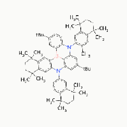 Cc1cc2c(cc1N1c3ccc(C(C)(C)C)cc3B3c4cc5c(cc4N(c4ccc6c(c4)C(C)(C)CCC6(C)C)c4cc(C(C)(C)C)cc1c43)C(C)(C)CCC5(C)C)C(C)(C)CCC2(C)C